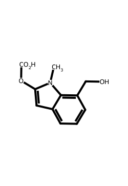 Cn1c(OC(=O)O)cc2cccc(CO)c21